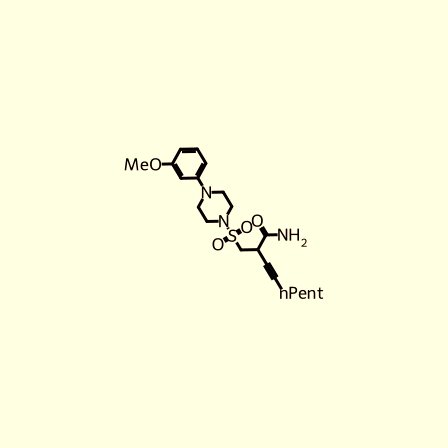 CCCCCC#CC(CS(=O)(=O)N1CCN(c2cccc(OC)c2)CC1)C(N)=O